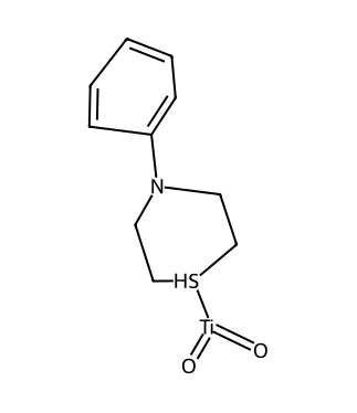 [O]=[Ti](=[O])[SH]1CCN(c2ccccc2)CC1